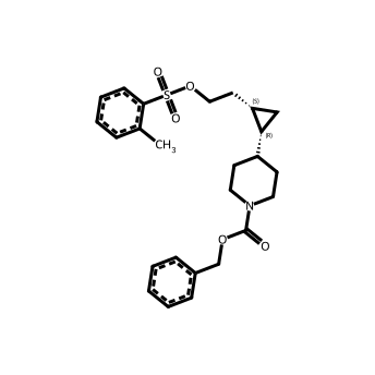 Cc1ccccc1S(=O)(=O)OCC[C@@H]1C[C@@H]1C1CCN(C(=O)OCc2ccccc2)CC1